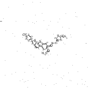 COc1cc(-n2cnc3cc(-c4ccc(Cl)cc4)sc3c2=O)ccc1OCCN1CC[C@@H](C)C1